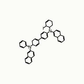 IC1C=CCCC1N(C1=CC2C=CC=CC2C=C1)c1ccc(C2=CCC(N(c3ccccc3)c3ccc4ccccc4c3)C=C2)cc1